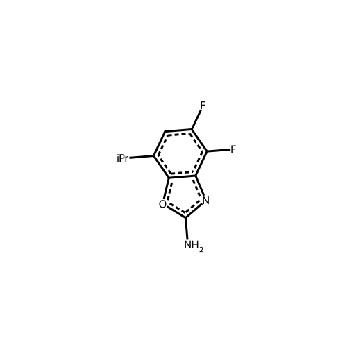 CC(C)c1cc(F)c(F)c2nc(N)oc12